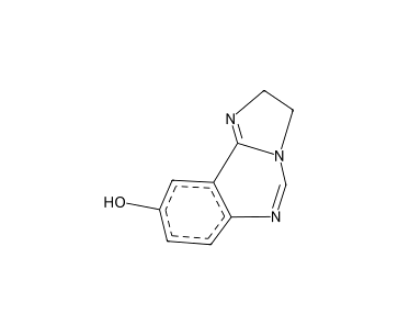 Oc1ccc2c(c1)C1=NCCN1C=N2